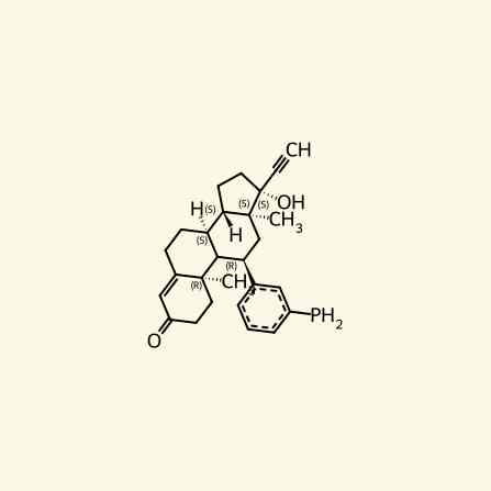 C#C[C@]1(O)CC[C@H]2[C@@H]3CCC4=CC(=O)CC[C@]4(C)C3[C@H](c3cccc(P)c3)C[C@@]21C